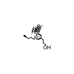 Br.Br.Br.C#CCCC[n+]1cccc(CCCO)c1.[Br-]